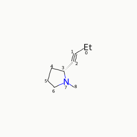 CCC#C[C@H]1CCCN1C